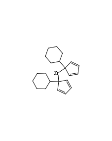 C1=C[C]([Zr][C]2(C3CCCCC3)C=CC=C2)(C2CCCCC2)C=C1